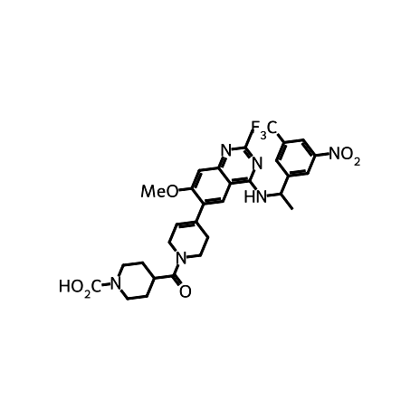 COc1cc2nc(C)nc(NC(C)c3cc([N+](=O)[O-])cc(C(F)(F)F)c3)c2cc1C1=CCN(C(=O)C2CCN(C(=O)O)CC2)CC1